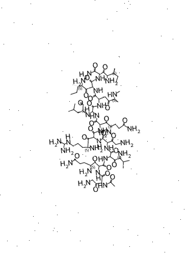 CC[C@H](C)C(N)C(=O)C(NC(=O)C(NC(=O)C(CC(=O)[C@H](C)NC)NC(=O)C(NC(=O)C(NC(=O)C(NC(=O)C(NC(=O)C(NC(=O)C(NC(=O)C(NC(C)=O)C(=O)CN)C(=O)[C@@H](N)CCC(N)=O)C(=O)[C@@H](N)C(C)C)C(=O)CN)C(=O)[C@@H](N)CCCNC(N)N)C(=O)[C@@H](N)CCC(N)=O)N[C@H](C=O)CC(C)C)C(=O)C(N)[C@@H](C)CC)C(N)=O